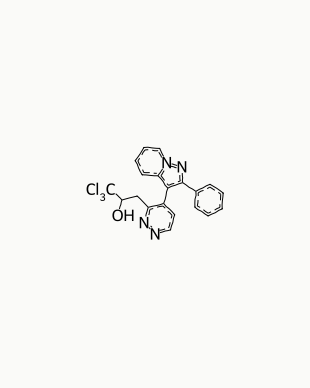 OC(Cc1nnccc1-c1c(-c2ccccc2)nn2ccccc12)C(Cl)(Cl)Cl